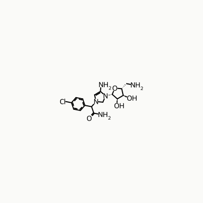 NC[C@H]1O[C@@H](N2CN(C(C(N)=O)c3ccc(Cl)cc3)C=C2N)[C@H](O)[C@@H]1O